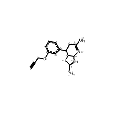 C#CCOc1cccc(C2CC(O)=NC3NC(N)SC32)c1